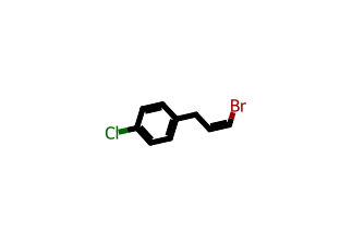 Clc1ccc(C/C=C\Br)cc1